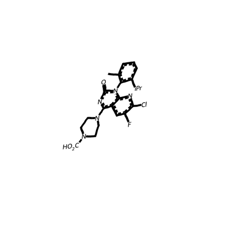 Cc1cccc(C(C)C)c1-n1c(=O)nc(N2CCN(C(=O)O)CC2)c2cc(F)c(Cl)nc21